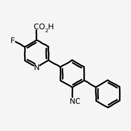 [C-]#[N+]c1cc(-c2cc(C(=O)O)c(F)cn2)ccc1-c1ccccc1